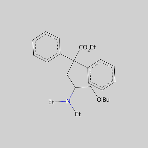 CCOC(=O)C(CC(COCC(C)C)N(CC)CC)(c1ccccc1)c1ccccc1